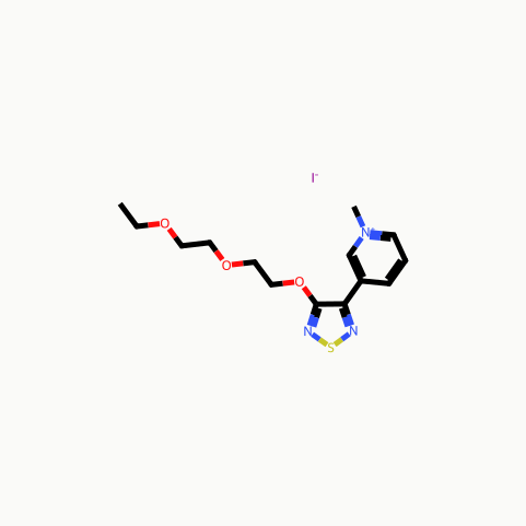 CCOCCOCCOc1nsnc1-c1ccc[n+](C)c1.[I-]